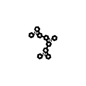 C1=Cc2c(n(-c3ccccc3)c3ccc(-c4ccc5c(c4)c4cc(C6=Cc7c(n(-c8ccccc8)c8ccccc78)CC6)ccc4n5-c4ccccc4)cc23)CC1